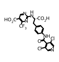 O=C(O)c1cnc(N[C@@H](Cc2ccc(NC(=O)c3c(Cl)cncc3Cl)cc2)C(=O)O)nc1C(F)(F)F